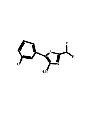 Nc1nc(C(F)F)sc1-c1cccc(Cl)c1